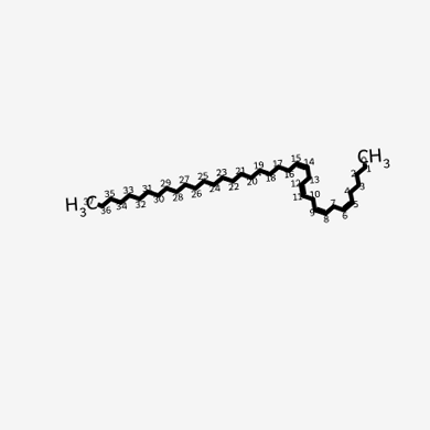 CCCCC/C=C\C/C=C\C/C=C\C/C=C\CCC[CH]CCCCCCCCCCCCCCCCCC